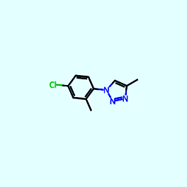 Cc1cn(-c2ccc(Cl)cc2C)nn1